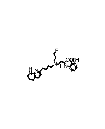 N#Cc1nccnc1N[C@@H](CCN(CCCF)CCCCc1ccc2c(n1)NCCC2)C(=O)O